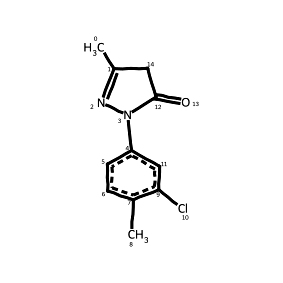 CC1=NN(c2ccc(C)c(Cl)c2)C(=O)C1